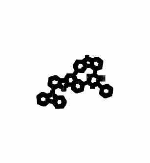 c1ccc(C2=NC(c3cccc4sc5ccc(-c6ccc7oc8c(-n9c%10ccccc%10c%10ccccc%109)cccc8c7c6)cc5c34)NC(c3ccccc3)=N2)cc1